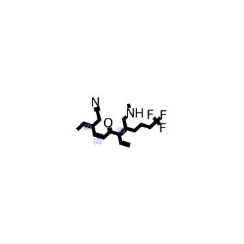 C=C/C(C(=O)/C=C\C(=C/C)CC#N)=C(\CCCC(F)(F)F)CNC